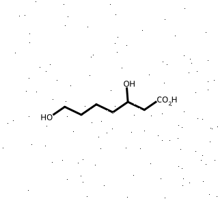 O=C(O)CC(O)CCCCO